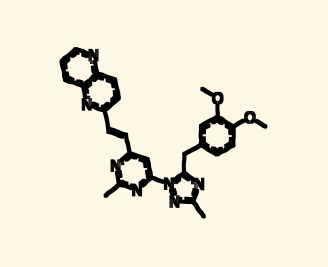 COc1ccc(Cc2nc(C)nn2-c2cc(/C=C/c3ccc4ncccc4n3)nc(C)n2)cc1OC